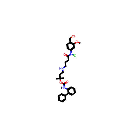 COc1cc(N(Cl)C(=O)CCCNCCC(C)(C)OC(=O)Nc2ccccc2-c2ccccc2)ccc1CO